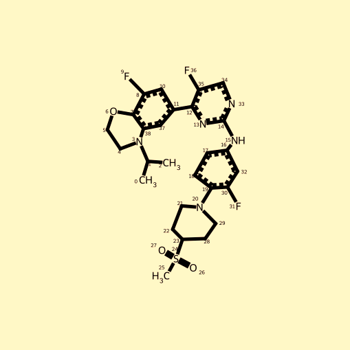 CC(C)N1CCOc2c(F)cc(-c3nc(Nc4ccc(N5CCC(S(C)(=O)=O)CC5)c(F)c4)ncc3F)cc21